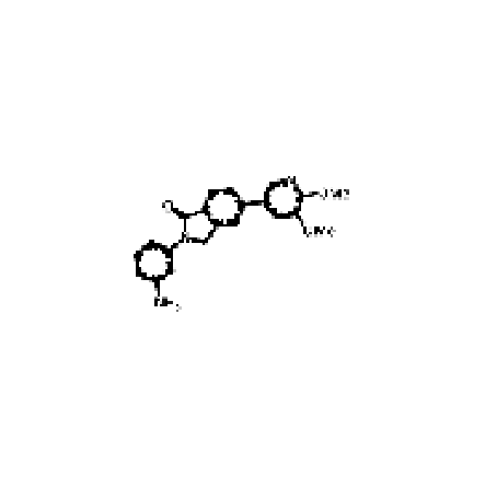 COc1cc(-c2ccc3c(c2)CN(c2cccc(N)c2)C3=O)cnc1OC